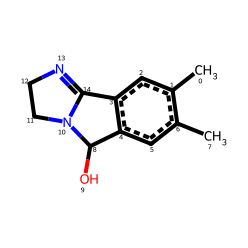 Cc1cc2c(cc1C)C(O)N1CCN=C21